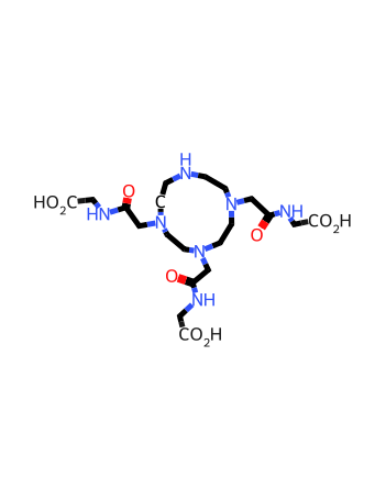 O=C(O)CNC(=O)CN1CCNCCN(CC(=O)NCC(=O)O)CCN(CC(=O)NCC(=O)O)CC1